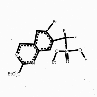 CCOC(=O)c1ncc2cc(Br)c(C(F)(F)P(=O)(OCC)OCC)cc2n1